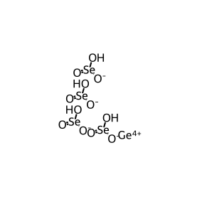 O=[Se]([O-])O.O=[Se]([O-])O.O=[Se]([O-])O.O=[Se]([O-])O.[Ge+4]